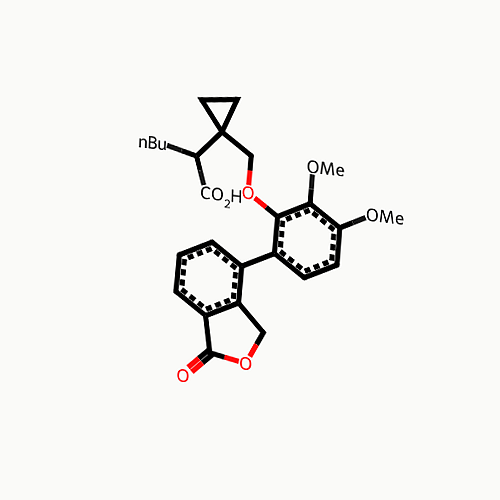 CCCCC(C(=O)O)C1(COc2c(-c3cccc4c3COC4=O)ccc(OC)c2OC)CC1